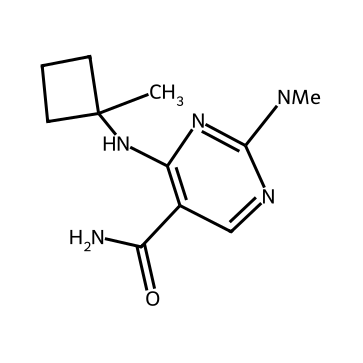 CNc1ncc(C(N)=O)c(NC2(C)CCC2)n1